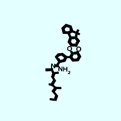 C=C(/N=C(\N)c1cccc(-c2cccc3c2Oc2cc4c(cc2O3)C(C)(C)c2ccccc2-4)c1)/C(C)=C/C=C(C)/C(C)=C/C=C\C